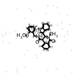 COc1ccccc1CNC(=O)C1c2ccccc2C(=O)N(C)C1c1cn(C)c2ccccc12